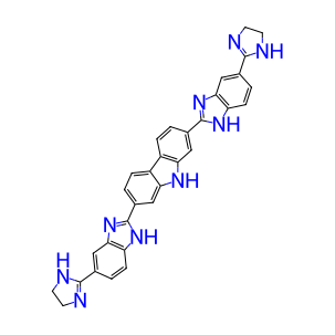 c1cc2[nH]c(-c3ccc4c(c3)[nH]c3cc(-c5nc6cc(C7=NCCN7)ccc6[nH]5)ccc34)nc2cc1C1=NCCN1